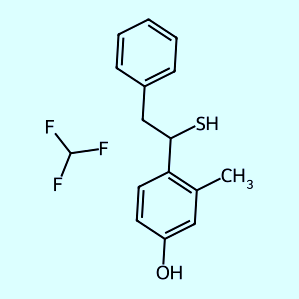 Cc1cc(O)ccc1C(S)Cc1ccccc1.FC(F)F